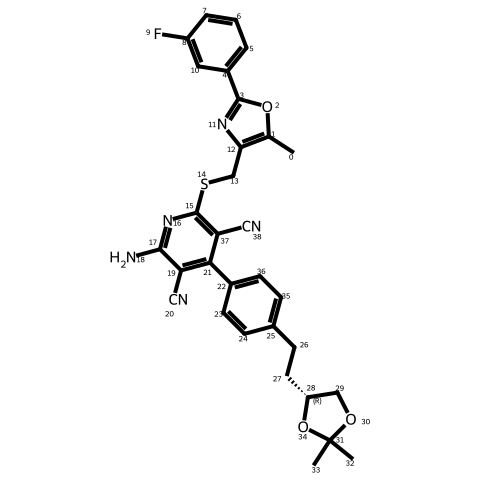 Cc1oc(-c2cccc(F)c2)nc1CSc1nc(N)c(C#N)c(-c2ccc(CC[C@@H]3COC(C)(C)O3)cc2)c1C#N